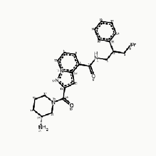 CC(C)CC(CNC(=O)c1cccn2nc(C(=O)N3CCC[C@@H](N)C3)cc12)c1ccccc1